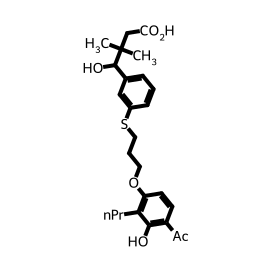 CCCc1c(OCCCSc2cccc(C(O)C(C)(C)CC(=O)O)c2)ccc(C(C)=O)c1O